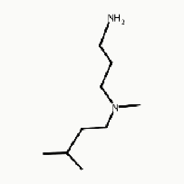 CC(C)CCN(C)CCCN